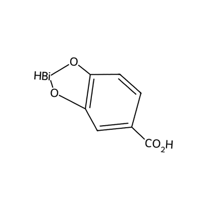 O=C(O)c1ccc2c(c1)[O][BiH][O]2